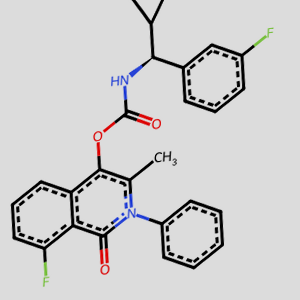 Cc1c(OC(=O)N[C@H](c2cccc(F)c2)C2CC2)c2cccc(F)c2c(=O)n1-c1ccccc1